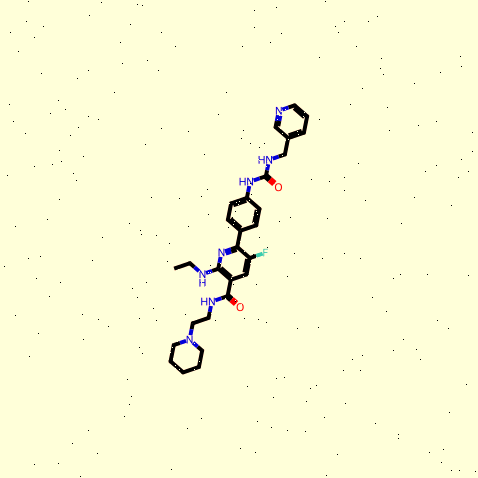 CCNc1nc(-c2ccc(NC(=O)NCc3cccnc3)cc2)c(F)cc1C(=O)NCCN1CCCCC1